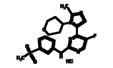 Cc1ncc(-c2nc(Nc3cccc(S(C)(=O)=O)c3)ncc2F)n1C1CCOCC1.Cl